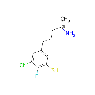 C[C@H](N)CCCc1cc(S)c(F)c(Cl)c1